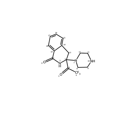 O=C1NC(C(=O)C(F)(F)F)(N2CCNCC2)Cc2ccccc21